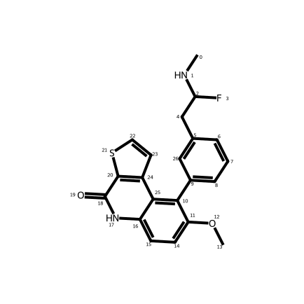 CNC(F)Cc1cccc(-c2c(OC)ccc3[nH]c(=O)c4sccc4c23)c1